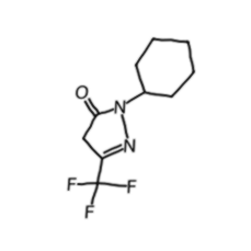 O=C1CC(C(F)(F)F)=NN1C1CCCCC1